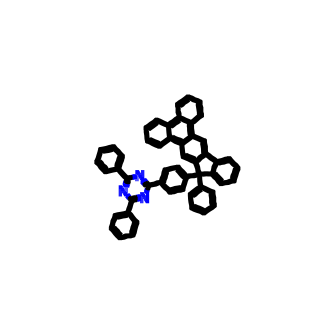 c1ccc(-c2nc(-c3ccccc3)nc(-c3ccc(C4(c5ccccc5)c5ccccc5-c5cc6c7ccccc7c7ccccc7c6cc54)cc3)n2)cc1